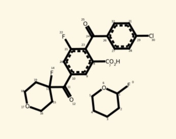 FC1CCCCO1.O=C(O)c1cc(C(=O)C2(F)CCOCC2)cc(F)c1C(=O)c1ccc(Cl)cc1